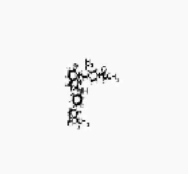 C=CC(=O)N1CCN(CCn2c(=O)ccc3cnc(Nc4ccc(N5CCN(C)[C@@H](C)C5)cc4)nc32)[C@@H](C)C1